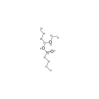 CCCCC(=O)OC(CCC)OCC